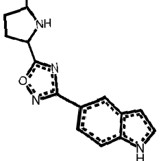 c1cc2cc(-c3noc(C4CCCN4)n3)ccc2[nH]1